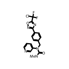 CNC(=O)N(Cc1ccc(-c2noc(C(F)(F)Cl)n2)cc1)c1cccnc1